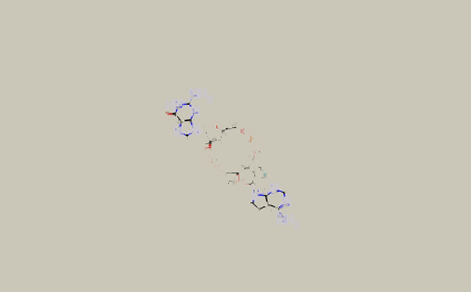 Nc1nc2c(ncn2[C@@H]2O[C@@H]3COPOC[C@H]4[C@H](F)[C@H](n5ccc6c(N)ncnc65)O[C@@H]4COPO[C@@H]2C3)c(=O)[nH]1